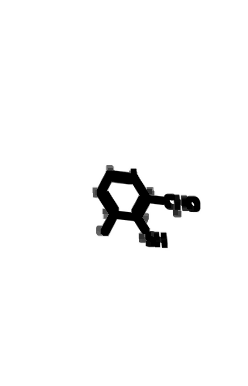 Cc1cccc(C=O)c1S